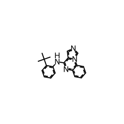 CC(C)(C)c1ccccc1Nc1nc2ccccc2n2cncc12